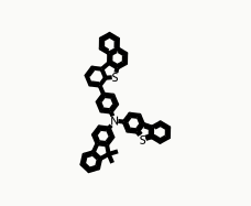 CC1(C)c2ccccc2-c2ccc(N(c3ccc(C4=CC=CC5c6c(ccc7ccccc67)SC45)cc3)c3ccc4c(c3)sc3ccccc34)cc21